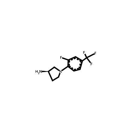 N[C@@H]1CCN(c2ccc(C(F)(F)F)cc2F)C1